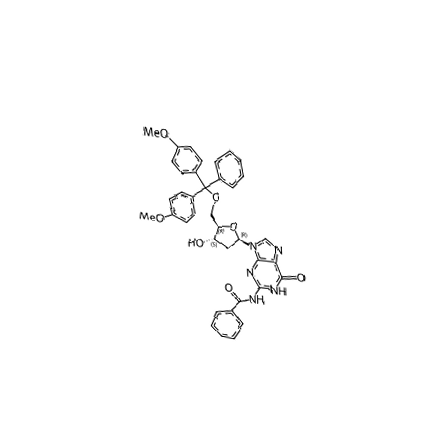 COc1ccc(C(OC[C@H]2O[C@@H](n3cnc4c(=O)[nH]c(NC(=O)c5ccccc5)nc43)C[C@@H]2O)(c2ccccc2)c2ccc(OC)cc2)cc1